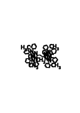 Cc1ccccc1N(c1nc(CCc2nc(N(c3ccccc3C)c3ccccc3C)nc(N(c3ccccc3C)c3ccccc3C)n2)nc(N(c2ccccc2C)c2ccccc2C)n1)c1ccccc1C